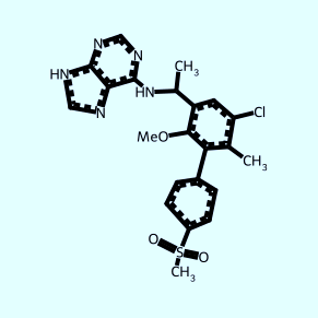 COc1c(C(C)Nc2ncnc3[nH]cnc23)cc(Cl)c(C)c1-c1ccc(S(C)(=O)=O)cc1